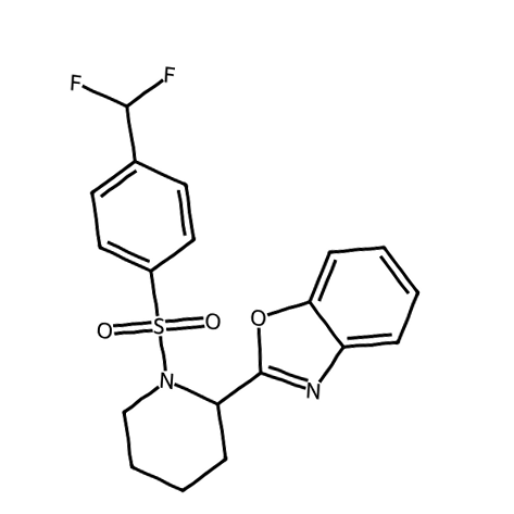 O=S(=O)(c1ccc(C(F)F)cc1)N1CCCCC1c1nc2ccccc2o1